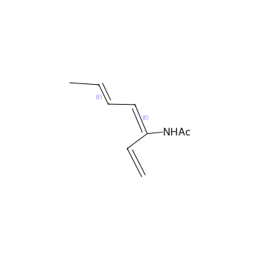 C=C/C(=C\C=C\C)NC(C)=O